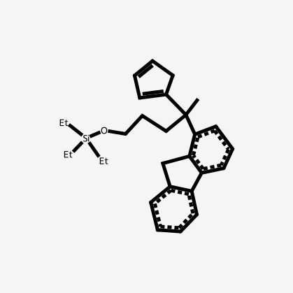 CC[Si](CC)(CC)OCCCC(C)(C1=CC=CC1)c1cccc2c1Cc1ccccc1-2